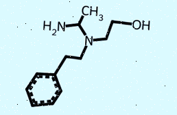 C[C](N)N(CCO)CCc1ccccc1